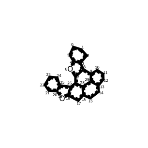 c1ccc2c(c1)oc1c2c2cccc3ccc4cc5oc6ccccc6c5c1c4c32